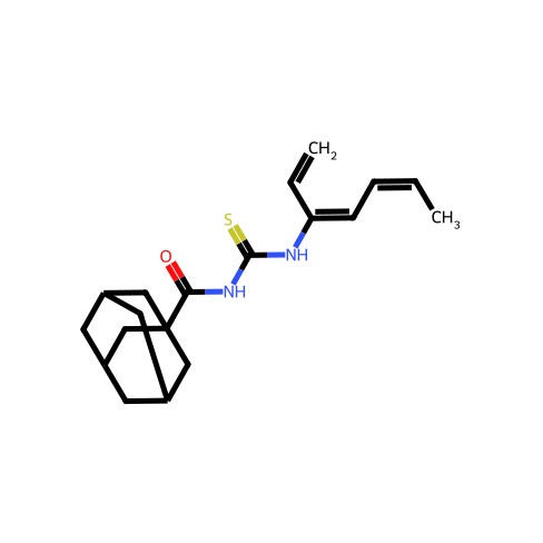 C=C/C(=C\C=C/C)NC(=S)NC(=O)C12CC3CC(CC(C3)C1)C2